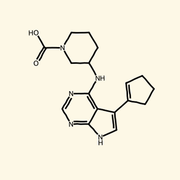 O=C(O)N1CCCC(Nc2ncnc3[nH]cc(C4=CCCC4)c23)C1